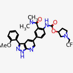 COc1ccccc1-c1n[nH]c2ncc(-c3ccc(NC(=O)OC4CCN(CC(F)(F)F)C4)c(C(=O)N(C)C)c3)cc12